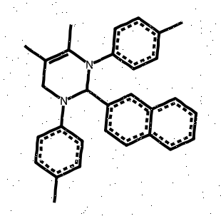 CC1=C(C)N(c2ccc(C)cc2)C(c2ccc3ccccc3c2)N(c2ccc(C)cc2)C1